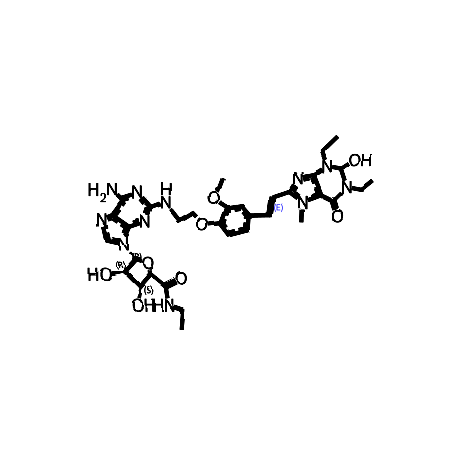 CCNC(=O)C1O[C@@H](n2cnc3c(N)nc(NCCOc4ccc(/C=C/c5nc6c(n5C)C(=O)N(CC)C(O)N6CC)cc4OC)nc32)[C@H](O)[C@@H]1O